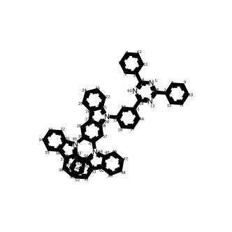 c1ccc(-c2nc(-c3ccccc3)nc(-c3cccc(-n4c5ccccc5c5cc(-n6c7ccccc7c7ccccc76)c(-n6c7ccccc7c7ccccc76)cc54)c3)n2)cc1